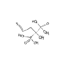 O=P(O)(O)C(O)(CC=S)P(=O)(O)O